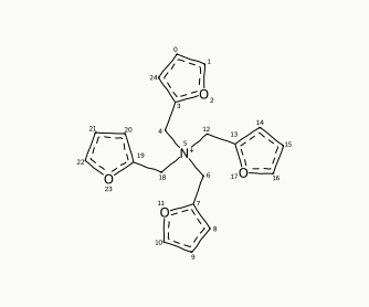 c1coc(C[N+](Cc2ccco2)(Cc2ccco2)Cc2ccco2)c1